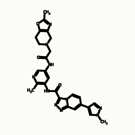 Cc1nc2c(o1)CCN(CC(=O)Nc1cnc(C)c(NC(=O)c3nnc4cc(-c5cnn(C)c5)ccn34)c1)C2